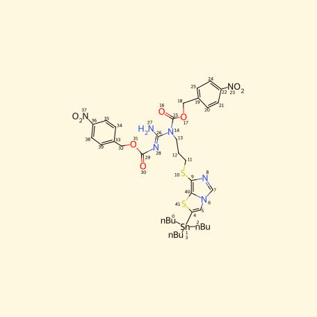 CCC[CH2][Sn]([CH2]CCC)([CH2]CCC)[c]1cn2cnc(SCCCN(C(=O)OCc3ccc([N+](=O)[O-])cc3)C(N)=NC(=O)OCc3ccc([N+](=O)[O-])cc3)c2s1